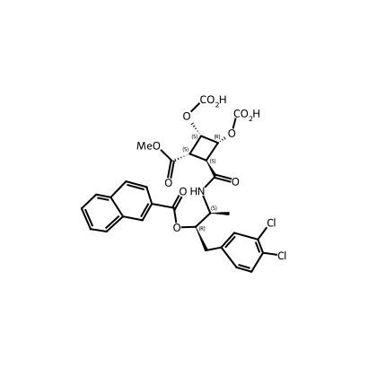 COC(=O)[C@@H]1[C@H](OC(=O)O)[C@H](OC(=O)O)[C@H]1C(=O)N[C@@H](C)[C@@H](Cc1ccc(Cl)c(Cl)c1)OC(=O)c1ccc2ccccc2c1